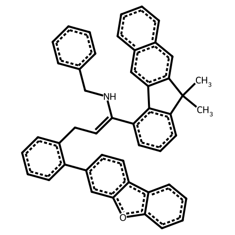 CC1(C)c2cc3ccccc3cc2-c2c(/C(=C/Cc3ccccc3-c3ccc4c(c3)oc3ccccc34)NCc3ccccc3)cccc21